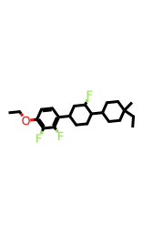 CCOc1ccc(C2CCC(C3CCC(C)(CC)CC3)C(F)C2)c(F)c1F